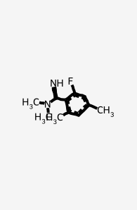 Cc1cc(C)c(C(=N)N(C)C)c(F)c1